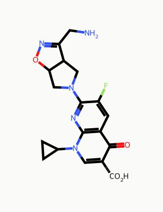 NCC1=NOC2CN(c3nc4c(cc3F)c(=O)c(C(=O)O)cn4C3CC3)CC12